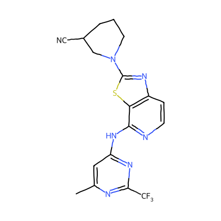 Cc1cc(Nc2nccc3nc(N4CCCC(C#N)C4)sc23)nc(C(F)(F)F)n1